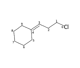 ClCCC=C1CCCCC1